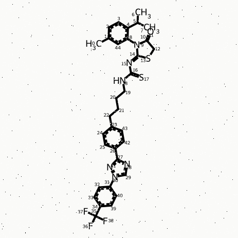 Cc1ccc(C(C)C)c(N2C(=O)CS/C2=N\C(=S)NCCCCc2ccc(-c3ncn(-c4ccc(C(F)(F)F)cc4)n3)cc2)c1